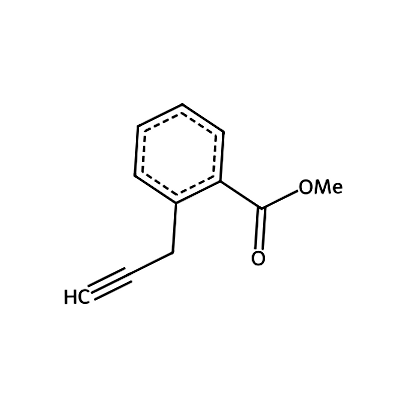 C#CCc1ccccc1C(=O)OC